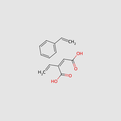 C=C/C(=C/C(=O)O)C(=O)O.C=Cc1ccccc1